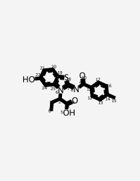 CCC(C(=O)O)n1/c(=N/C(=O)c2ccc(C)cc2)sc2ccc(O)cc21